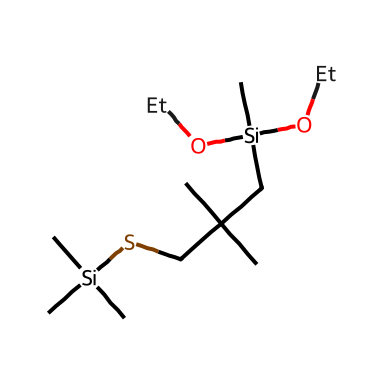 CCO[Si](C)(CC(C)(C)CS[Si](C)(C)C)OCC